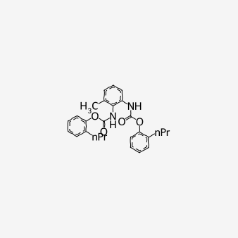 CCCc1ccccc1OC(=O)Nc1cccc(C)c1NC(=O)Oc1ccccc1CCC